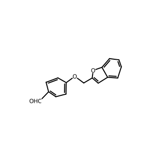 O=Cc1ccc(OCc2cc3ccccc3o2)cc1